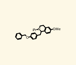 COc1ccc2c(c1)CCN(C(C)C)C2Cc1ccc(OCc2ccccc2)cc1